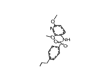 CCCc1ccc(S(=O)(=O)Nc2ccc(OC)nc2OC)cc1